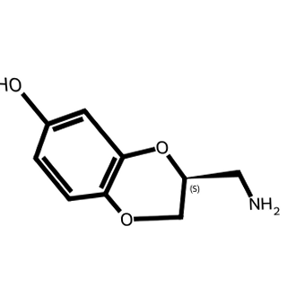 NC[C@H]1COc2ccc(O)cc2O1